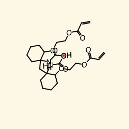 C=CC(=O)OCCOC1CCCCC1(CC1(NC(=O)O)CCCCC1OCCOC(=O)C=C)NC(=O)O